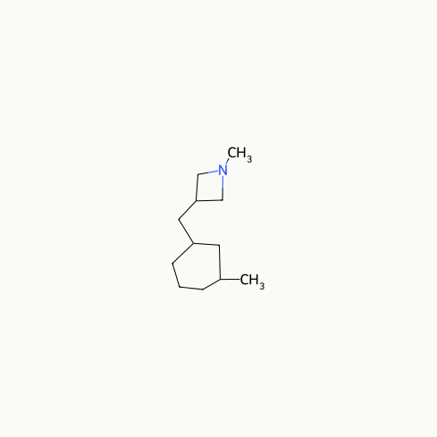 CC1CCCC(CC2CN(C)C2)C1